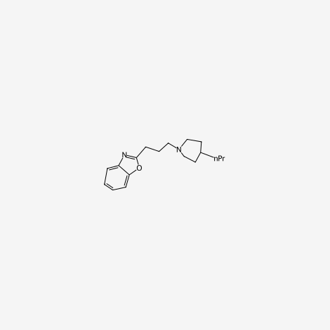 CCCC1CCN(CCCc2nc3ccccc3o2)CC1